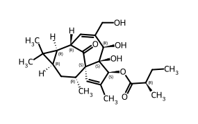 CC[C@@H](C)C(=O)O[C@H]1C(C)=C[C@]23C(=O)[C@@H](C=C(CO)[C@@H](O)[C@]12O)[C@H]1[C@@H](C[C@H]3C)C1(C)C